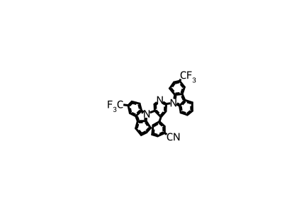 N#Cc1cccc(-c2cc(-n3c4ccccc4c4cc(C(F)(F)F)ccc43)ncc2-n2c3ccccc3c3cc(C(F)(F)F)ccc32)c1